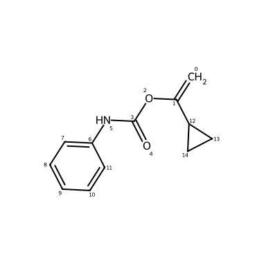 C=C(OC(=O)Nc1ccccc1)C1CC1